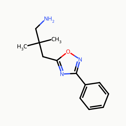 CC(C)(CN)Cc1nc(-c2ccccc2)no1